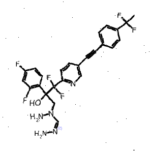 CC(F)(F)c1ccc(C#Cc2ccc(C(F)(F)C(O)(CN(N)/C=N\N)c3ccc(F)cc3F)nc2)cc1